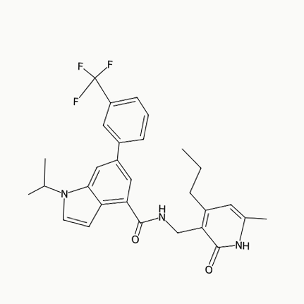 CCCc1cc(C)[nH]c(=O)c1CNC(=O)c1cc(-c2cccc(C(F)(F)F)c2)cc2c1ccn2C(C)C